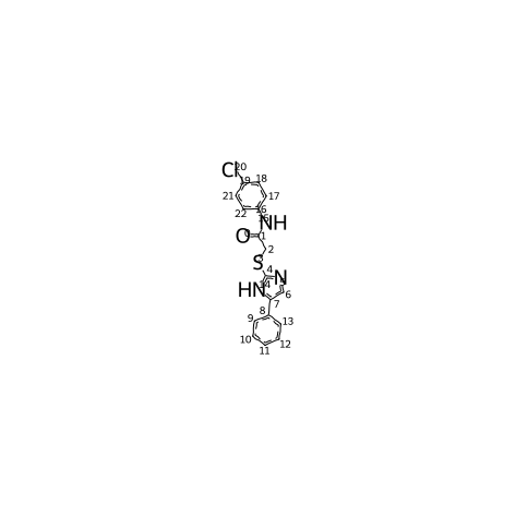 O=C(CSc1ncc(-c2ccccc2)[nH]1)Nc1ccc(Cl)cc1